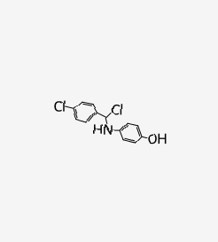 Oc1ccc(NC(Cl)c2ccc(Cl)cc2)cc1